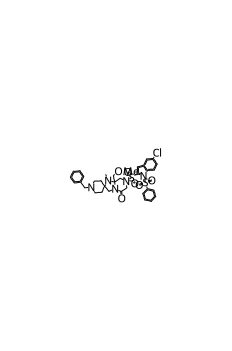 COCC12CN(S(=O)(=O)c3cc4cc(Cl)ccc4n3S(=O)(=O)c3ccccc3)CC(=O)N1CC1(CCN(Cc3ccccc3)CC1)N2C